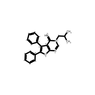 CC(C)Cn1cnc2oc(-c3ccccc3)c(-c3ccccc3)c2c1=N